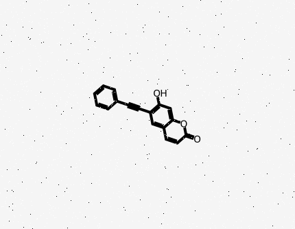 O=c1ccc2cc(C#Cc3ccccc3)c(O)cc2o1